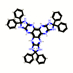 c1ccc(C2(c3ccccc3)Nc3nc4c5nc6c(nc5c5nc7c(nc5c4nc3N2)NC(c2ccccc2)(c2ccccc2)N7)NC(c2ccccc2)(c2ccccc2)N6)cc1